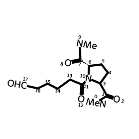 CNC(=O)C1CC[C@@H](C(=O)NC)N1C(=O)CCCCC=O